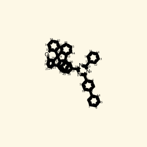 c1ccc(-c2ccc(-c3nc(-c4ccccc4)nc(-c4ccc(-c5cccc6c5C5(c7ccccc7O6)c6ccccc6-c6ccccc65)cc4)n3)cc2)cc1